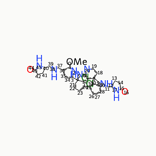 COc1nc(C2(Nc3cc(CNCC4CCC(=O)N4)ccn3)C=CC=C(c3ccccc3)C2(Cl)Cl)ccc1CNCC1CCC(=O)N1